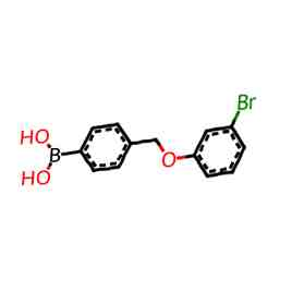 OB(O)c1ccc(COc2cccc(Br)c2)cc1